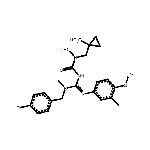 Cc1cc(/N=C(\NC(=O)N(C=O)CC2(C(=O)O)CC2)N(C)Cc2ccc(Cl)cc2)ccc1OC(C)C